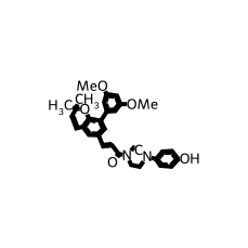 COc1cc(OC)cc(-c2cc(/C=C/C(=O)N3CCN(c4ccc(O)cc4)CC3)cc3c2OC(C)(C)C=C3)c1